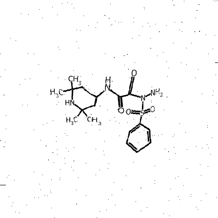 CC1(C)CC(NC(=O)C(=O)N(N)S(=O)(=O)c2ccccc2)CC(C)(C)N1